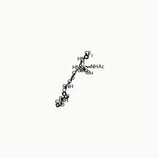 CC(=O)NCCCC[C@H](NC(=O)[C@H](CCCCNc1ccc(F)c(C(F)(F)F)c1)NC(=O)CCOCCOCCOCCNC(=O)COc1ccc2c(C(=O)NCC(=O)N3CCC[C@H]3C#N)ccnc2c1)C(=O)OC(C)(C)C